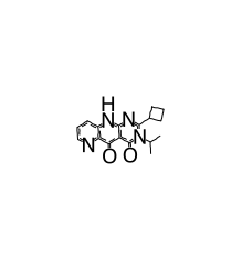 CC(C)n1c(C2CCC2)nc2[nH]c3cccnc3c(=O)c2c1=O